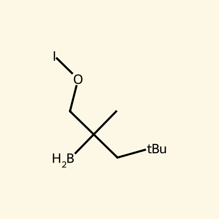 BC(C)(COI)CC(C)(C)C